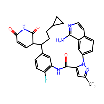 Nc1nccc2ccc(-n3nc(C(F)(F)F)cc3C(=O)Nc3cc(C(CCC4CC4)C4C=CC(=O)NC4=O)ccc3F)cc12